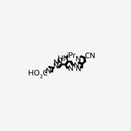 CC(C)Nc1cc(-n2ncc3cc(C#N)cnc32)ncc1-c1cn(C2CN(C(=O)O)C2)nn1